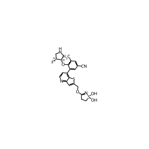 Cc1cc(C#N)cc(-c2ccnc3cc(COC4=NS(O)(O)CC4)sc23)c1O[C@@H]1CNC[C@@H]1F